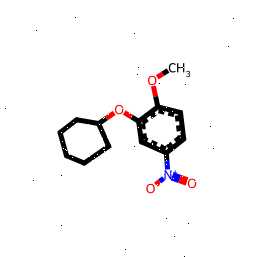 COc1ccc([N+](=O)[O-])cc1OC1CCCCC1